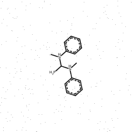 C[SiH](c1ccccc1)C(P)[SiH](C)c1ccccc1